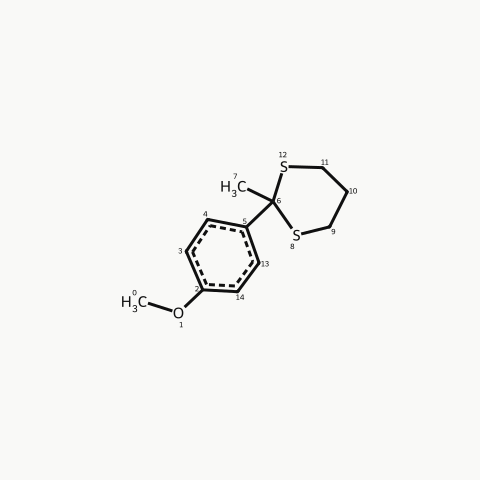 COc1ccc(C2(C)SCCCS2)cc1